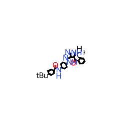 Cc1ccccc1C(=O)c1c[nH]c2ncnc(NC3CCC(NC(=O)c4ccc(C(C)(C)C)cc4)CC3)c12